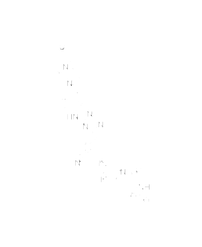 CC1OC(=O)NC1C(=O)N1CC[C@H](Oc2ccc(-c3ncnc(Nc4ccc(N5CCN(C6COC6)CC5)cc4)n3)cc2C#N)[C@H](F)C1